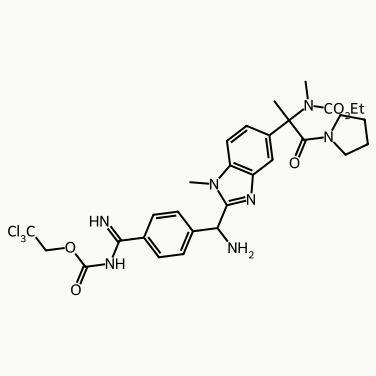 CCOC(=O)N(C)C(C)(C(=O)N1CCCC1)c1ccc2c(c1)nc(C(N)c1ccc(C(=N)NC(=O)OCC(Cl)(Cl)Cl)cc1)n2C